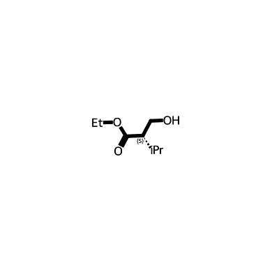 CCOC(=O)[C@H](CO)C(C)C